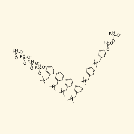 C[N+](C)(C)Cc1ccccc1.C[N+](C)(C)Cc1ccccc1.C[N+](C)(C)Cc1ccccc1.C[N+](C)(C)Cc1ccccc1.C[N+](C)(C)Cc1ccccc1.C[N+](C)(C)Cc1ccccc1.O=[PH]([O-])F.O=[PH]([O-])F.O=[PH]([O-])F.O=[PH]([O-])F.O=[PH]([O-])F.O=[PH]([O-])F